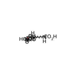 O=C(O)NCCCCCCCC(=O)Nc1ccc2c(=O)n(O)sc2c1O